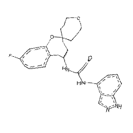 O=C(Nc1cccc2[nH]ncc12)NC1CC2(CCOCC2)Oc2cc(F)ccc21